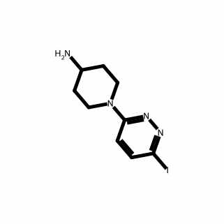 NC1CCN(c2ccc(I)nn2)CC1